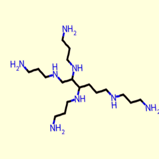 NCCCNCCCC(NCCCN)C(CNCCCN)NCCCN